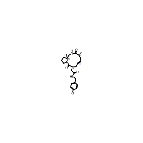 C[C@H]1C/C=C/C[C@@H](CC(=O)NCc2ccc(Cl)cc2)C(=O)N2CCC[C@H]2CNC1=O